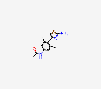 CC(=O)Nc1cc(C)c(-c2csc(N)n2)c(C)c1